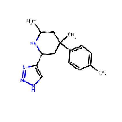 CC1CC(C)(c2ccc(C(F)(F)F)cc2)CC(c2c[nH]nn2)N1